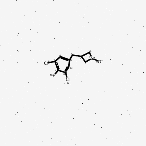 [O-][S+]1CC(Cc2cc(Cl)c(F)c(Cl)c2)C1